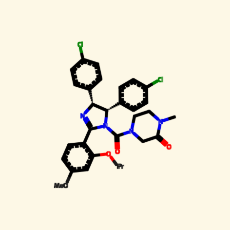 COc1ccc(C2=N[C@H](c3ccc(Cl)cc3)[C@H](c3ccc(Cl)cc3)N2C(=O)N2CCN(C)C(=O)C2)c(OC(C)C)c1